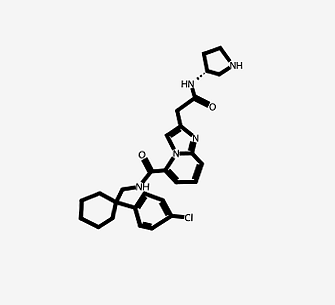 O=C(Cc1cn2c(C(=O)NCC3(c4ccc(Cl)cc4)CCCCC3)cccc2n1)N[C@@H]1CCNC1